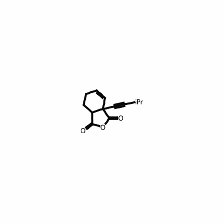 CC(C)C#CC12C=CCCC1C(=O)OC2=O